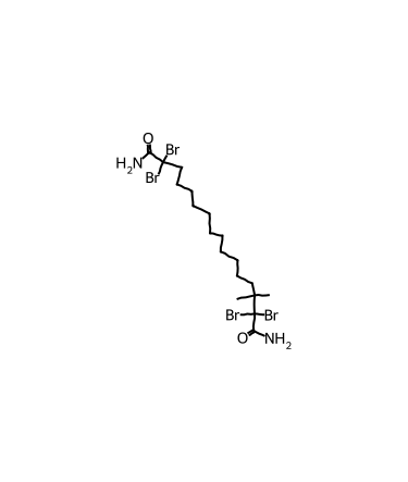 CC(C)(CCCCCCCCCCCC(Br)(Br)C(N)=O)C(Br)(Br)C(N)=O